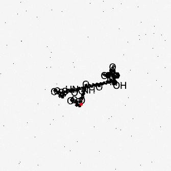 COc1ccc(C(OC[C@@H]2C[C@@H](O)CN2C(=O)CCCCCCC(=O)CCCCCCC(=O)[C@H](CCCCNC(=O)CCCCOC2OC(COC(C)=O)C(C)C(C)C2C)NC(=O)CCCCOC2OC(COC(C)=O)C(C)C(C)C2C)(c2ccccc2)c2ccc(OC)cc2)cc1